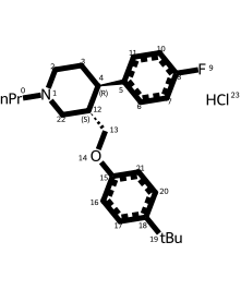 CCCN1CC[C@@H](c2ccc(F)cc2)[C@H](COc2ccc(C(C)(C)C)cc2)C1.Cl